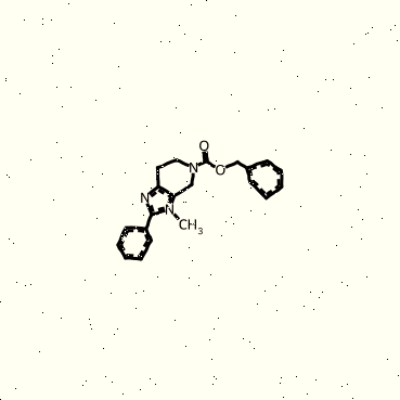 Cn1c(-c2ccccc2)nc2c1CN(C(=O)OCc1ccccc1)CC2